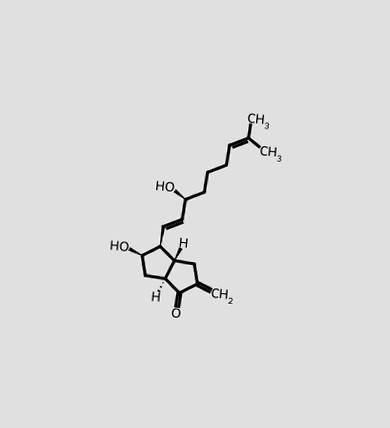 C=C1C[C@H]2[C@H](C=C[C@@H](O)CCCC=C(C)C)[C@H](O)C[C@@H]2C1=O